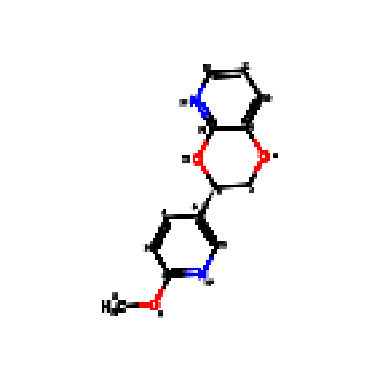 COc1ccc([C@H]2COc3cccnc3O2)cn1